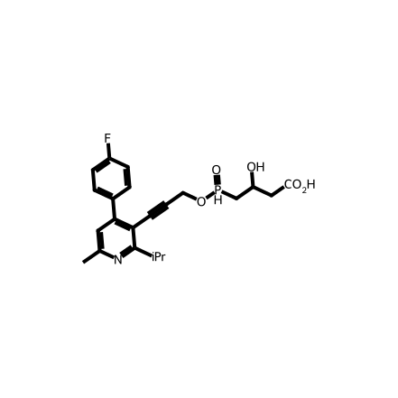 Cc1cc(-c2ccc(F)cc2)c(C#CCO[PH](=O)CC(O)CC(=O)O)c(C(C)C)n1